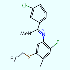 CN/C(=N\c1cc(SCC(F)(F)F)c(C)cc1F)c1cccc(Cl)c1